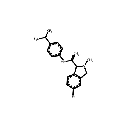 C=C(Nc1ccc(C(C(F)(F)F)C(F)(F)F)cc1)C1c2ccc(Br)cc2CN1C